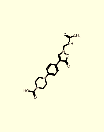 CC(=O)NCn1cc(-c2ccc(N3CCN(C(=O)O)CC3)cc2)c(=O)o1